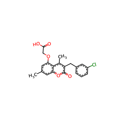 Cc1cc(OCC(=O)O)c2c(C)c(Cc3cccc(Cl)c3)c(=O)oc2c1